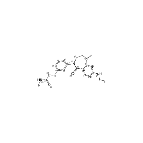 CCNc1ncc2c(n1)N(C)CCN(c1cccc(COC(=O)NC)c1)C2=O